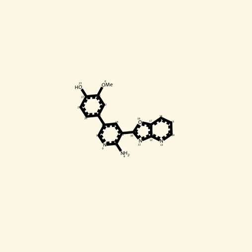 COc1cc(-c2cnc(N)c(-c3nc4ncccc4o3)c2)ccc1O